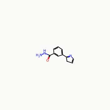 NNC(=O)c1cccc(C2=NC=CC2)c1